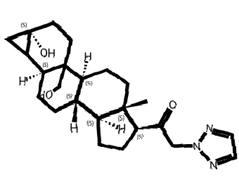 C[C@]12CC[C@H]3[C@@H](CC[C@H]4C5C[C@@]5(O)CCC43CO)[C@@H]1CC[C@@H]2C(=O)Cn1nccn1